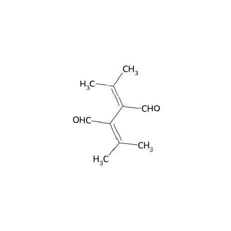 CC(C)=C(C=O)C(C=O)=C(C)C